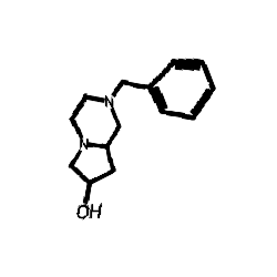 OC1CC2CN(Cc3ccccc3)CCN2C1